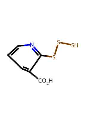 O=C(O)c1cccnc1SSS